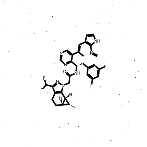 C=Nc1[nH]ccc1/C=C(\C)c1cncnc1[C@H](Cc1cc(F)cc(F)c1)NC(=O)Cn1nc(C(F)F)c2c1[C@@H]1[C@H](C)[C@@H]1CC2